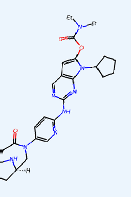 CCN(CC)C(=O)Oc1cc2cnc(Nc3ccc(N4C[C@H]5CC[C@@H](CC4=O)N5)cn3)nc2n1C1CCCC1